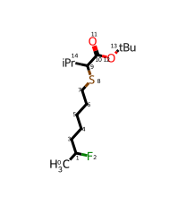 CC(F)CCCCCSC(C(=O)OC(C)(C)C)C(C)C